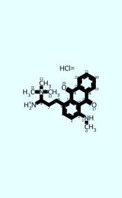 CNc1ccc(CCC(N)[N+](C)(C)C)c2c1C(=O)c1ccccc1C2=O.Cl